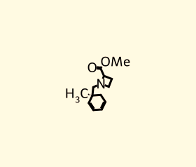 COC(=O)C1CCN1C[C@]1(C)C=CC=CC1